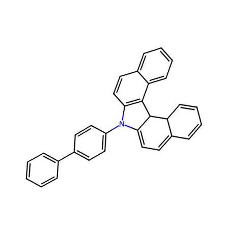 C1=CC2=CC=C3C(c4c(ccc5ccccc45)N3c3ccc(-c4ccccc4)cc3)C2C=C1